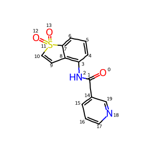 O=C(Nc1cccc2c1C=CS2(=O)=O)c1cccnc1